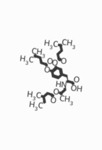 CCC(C)CC(=O)OC(C)CN[C@@H](Cc1ccc(OC(=O)CCC(C)C)c(OC(=O)CCC(C)C)c1)C(=O)O